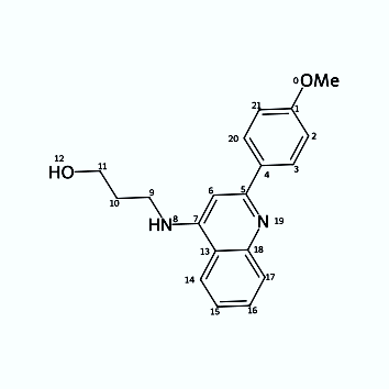 COc1ccc(-c2cc(NCCCO)c3ccccc3n2)cc1